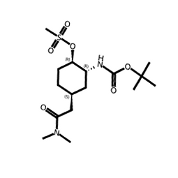 CN(C)C(=O)C[C@H]1CC[C@@H](OS(C)(=O)=O)[C@H](NC(=O)OC(C)(C)C)C1